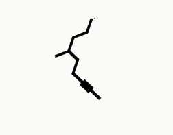 [CH2]CCC(C)CCC#CC